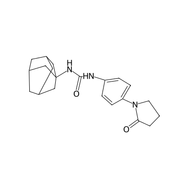 O=C(Nc1ccc(N2CCCC2=O)cc1)NC12CC3CC(CC(C3)C1)C2